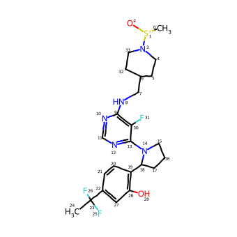 C[S+]([O-])N1CCC(CNc2ncnc(N3CCCC3c3ccc(C(C)(F)F)cc3O)c2F)CC1